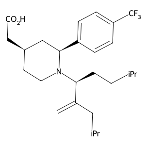 C=C(CC(C)C)[C@H](CCC(C)C)N1CC[C@@H](CC(=O)O)C[C@H]1c1ccc(C(F)(F)F)cc1